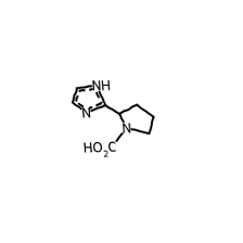 O=C(O)N1CCCC1c1ncc[nH]1